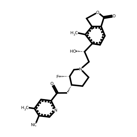 Cc1cc(C(=O)C[C@H]2CCN(C[C@H](O)c3ccc4c(c3C)COC4=O)C[C@H]2F)ncc1C#N